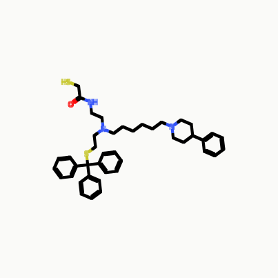 O=C(CS)NCCN(CCCCCCN1CCC(c2ccccc2)CC1)CCSC(c1ccccc1)(c1ccccc1)c1ccccc1